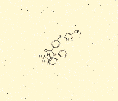 C[C@H]1[C@H](N(C(=O)c2ccc(Sc3cc(C(F)(F)F)sn3)cc2)c2ccccc2)C2CCN1CC2